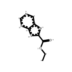 CCOC(=O)c1nc2cncnc2s1